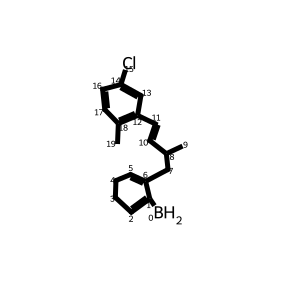 BC1=CCCC=C1CC(C)/C=C/c1cc(Cl)ccc1C